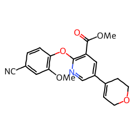 COC(=O)c1cc(C2=CCOCC2)cnc1Oc1ccc(C#N)cc1OC